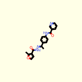 C/C(=N\NC(=O)c1ccoc1C)c1ccc(NC(=O)c2cccnc2)cc1